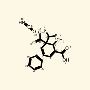 CC1C(C(=O)O)=CC=CC1(C(=O)O)C(F)F.N=C=O.c1ccccc1